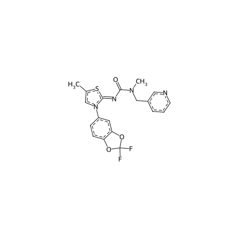 Cc1cn(-c2ccc3c(c2)OC(F)(F)O3)c(=NC(=O)N(C)Cc2cccnc2)s1